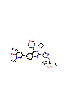 Cc1cc(-c2ccc3nc(-c4cnn(CC(C)(C)O)c4)nc(N4CCOC[C@@H]4C4CCC4)c3c2)cn(C)c1=O